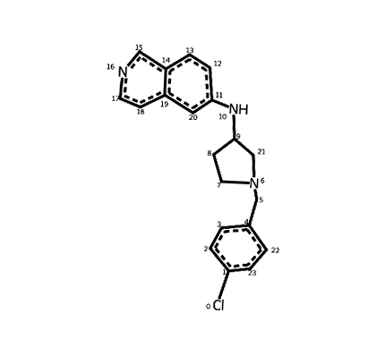 Clc1ccc(CN2CCC(Nc3ccc4cnccc4c3)C2)cc1